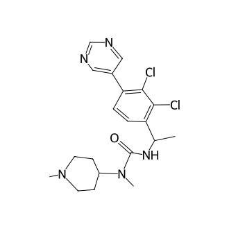 CC(NC(=O)N(C)C1CCN(C)CC1)c1ccc(-c2cncnc2)c(Cl)c1Cl